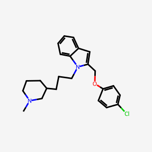 CN1CCCC(CCCn2c(COc3ccc(Cl)cc3)cc3ccccc32)C1